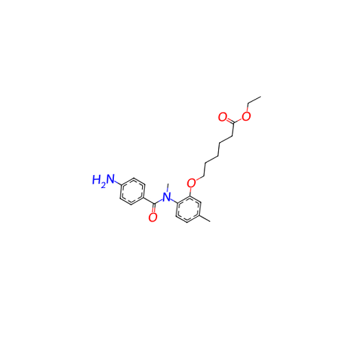 CCOC(=O)CCCCCOc1cc(C)ccc1N(C)C(=O)c1ccc(N)cc1